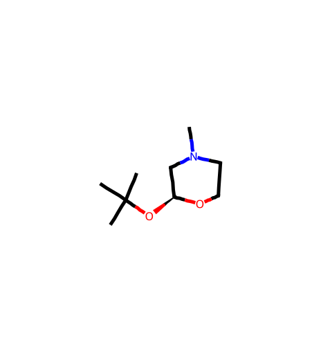 CN1CCO[C@@H](OC(C)(C)C)C1